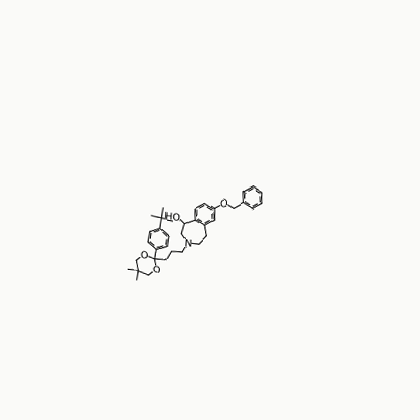 CC1(C)COC(CCCN2CCc3cc(OCc4ccccc4)ccc3C(O)C2)(c2ccc(C(C)(C)C)cc2)OC1